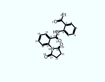 CCC(=O)c1ccccc1NC(=O)c1ccccc1N1C(=O)CCC1=O